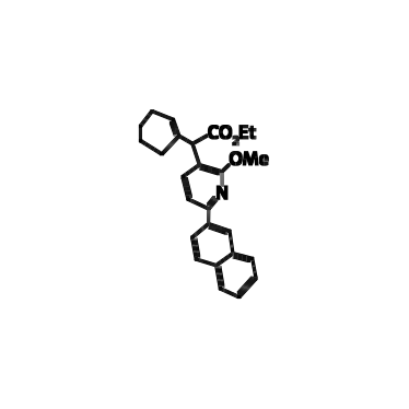 CCOC(=O)C(C1=CCCCC1)c1ccc(-c2ccc3ccccc3c2)nc1OC